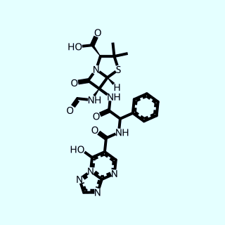 CC1(C)S[C@H]2N(C(=O)[C@@]2(NC=O)NC(=O)C(NC(=O)c2cnc3ncnn3c2O)c2ccccc2)[C@H]1C(=O)O